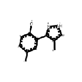 Cc1ccc(Cl)c(-c2n[nH]cc2C)c1